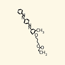 C=CC(=O)OCCCCOc1ccc(N=Nc2ccc(N=Nc3ccccc3)cc2)cc1C